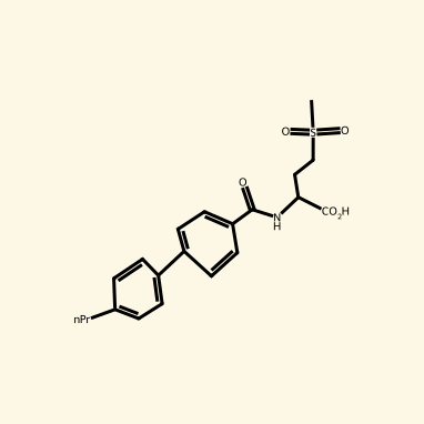 CCCc1ccc(-c2ccc(C(=O)NC(CCS(C)(=O)=O)C(=O)O)cc2)cc1